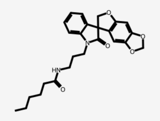 CCCCCC(=O)NCCCN1C(=O)C2(COc3cc4c(cc32)OCO4)c2ccccc21